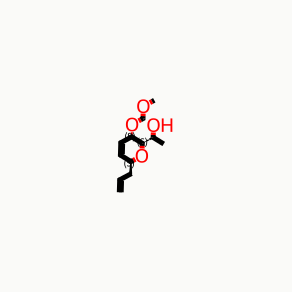 C=CC[C@H]1C=C[C@H](OCOC)[C@H](C(C)O)O1